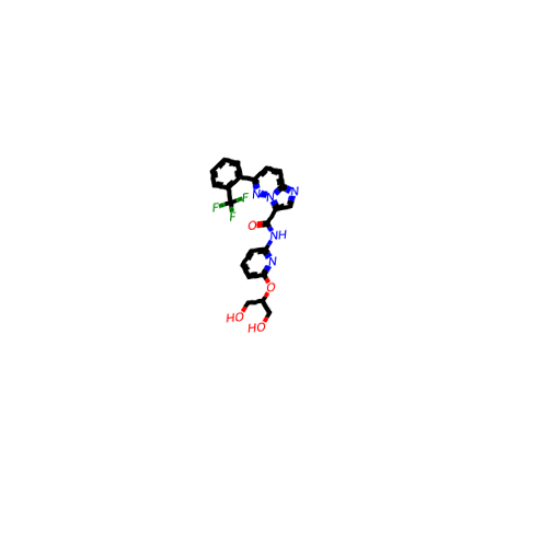 O=C(Nc1cccc(OC(CO)CO)n1)c1cnc2ccc(-c3ccccc3C(F)(F)F)nn12